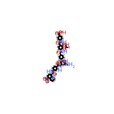 CC(C)Oc1c(NC(=O)c2ccc(NC(=O)[C@H](CC(N)=O)NC(=O)c3ccc(NC(=O)c4ccc([N+](=O)[O-])c5cccnc45)cc3)cc2)ccc(C(=O)Nc2ccc(C(=O)O)cc2)c1O